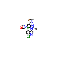 Cc1csc(-c2cc(N3CCOCC3)cc3c2nc(C2CC2)n3-c2ccnc3c(Cl)ccc(F)c23)n1